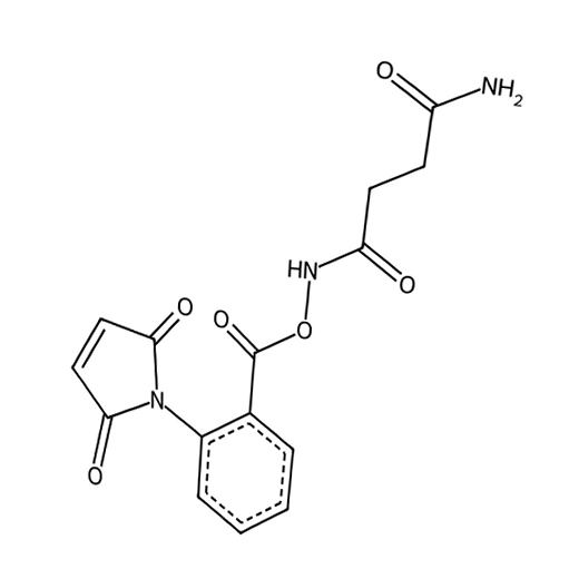 NC(=O)CCC(=O)NOC(=O)c1ccccc1N1C(=O)C=CC1=O